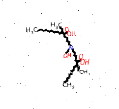 CCCCCCCCCC/C(CCC)=C(\CCCCCCN(CCCO)CCCCCC/C(C(=O)O)=C(/CCC)CCCCCCCCCC)C(=O)O